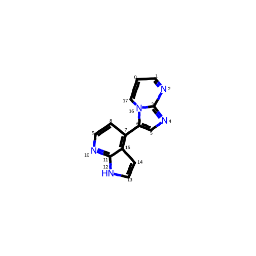 c1cnc2ncc(-c3ccnc4[nH]ccc34)n2c1